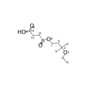 CCOC(C)(C)CCOC(=O)CCC(=O)O